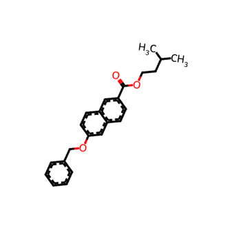 CC(C)CCOC(=O)c1ccc2cc(OCc3ccccc3)ccc2c1